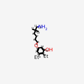 CCc1cc(OCCCCC(C)(C)CN)cc(O)c1CC